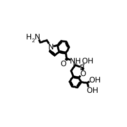 NCCn1ccc2c(C(=O)N[C@H]3Cc4cccc(C(O)O)c4OB3O)cccc21